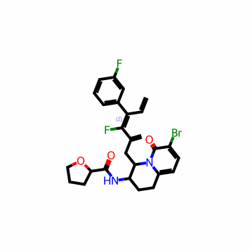 C=C/C(=C(/F)C(=C)CC1C(NC(=O)C2CCCO2)CCc2ccc(Br)c(=O)n21)c1cccc(F)c1